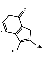 CC(C)(C)C1=C(C(C)(C)C)C2=C(C1)C(=O)CC=C2